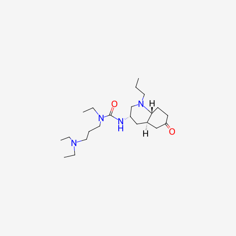 CCCN1C[C@@H](NC(=O)N(CC)CCCN(CC)CC)C[C@@H]2CC(=O)CC[C@H]21